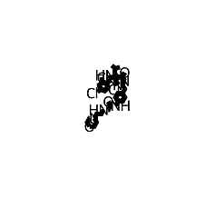 CC(C)c1[nH]n(-c2c(Cl)cc(Cl)cc2Cl)c2nc(Cc3ccc(NC(=O)CNCCN4CCOCC4)cc3)nc(=O)c1-2